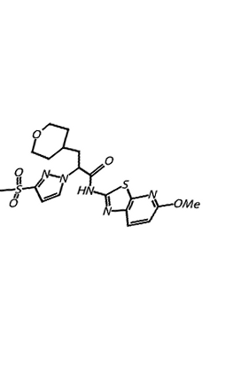 COc1ccc2nc(NC(=O)C(CC3CCOCC3)n3ccc(S(=O)(=O)C4CC4)n3)sc2n1